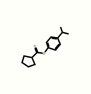 CC(C)c1ccc(OC(=O)C2CCCC2)cc1